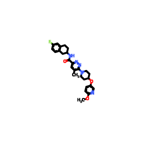 COc1ccc(OC2CCN(c3nnc(C(=O)NC4CCc5cc(F)ccc5C4)cc3C)CC2)cn1